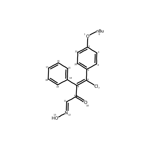 CCCCOc1ccc(C(Cl)=C(C(=O)C=NO)c2ccccc2)cc1